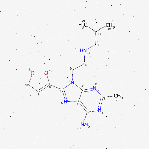 Cc1nc(N)c2nc(C3=CCOO3)n(CCNCC(C)C)c2n1